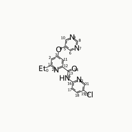 CCc1cc(Oc2cncnc2)cc(C(=O)Nc2ccc(Cl)cn2)n1